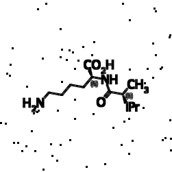 CC(C)[C@H](C)C(=O)N[C@@H](CCCCN)C(=O)O